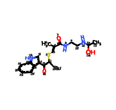 CCC(C)C(S/C=C(\C)C(=O)NCCNC(C)O)C(=O)c1c[nH]c2ccccc12